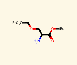 CCOC(=O)COCC(N)C(=O)OC(C)(C)C